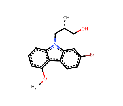 COc1cccc2c1c1ccc(Br)cc1n2C[C@H](C)CO